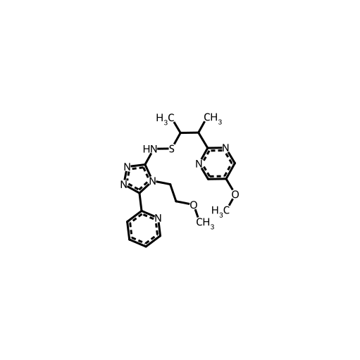 COCCn1c(NSC(C)C(C)c2ncc(OC)cn2)nnc1-c1ccccn1